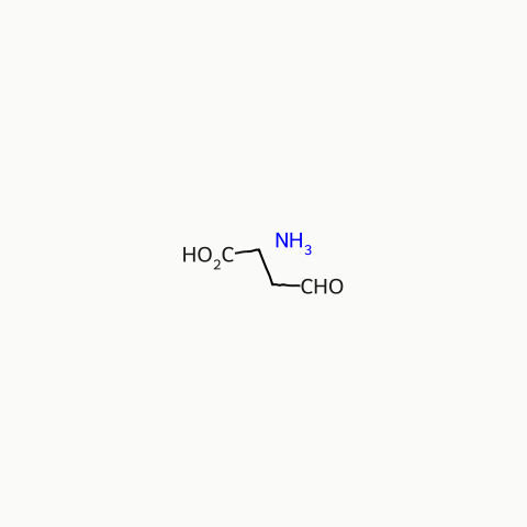 N.O=CCCC(=O)O